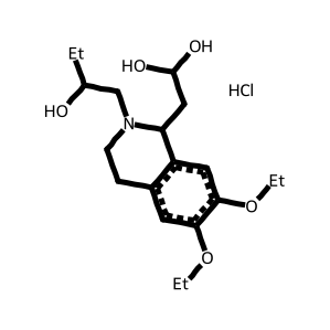 CCOc1cc2c(cc1OCC)C(CC(O)O)N(CC(O)CC)CC2.Cl